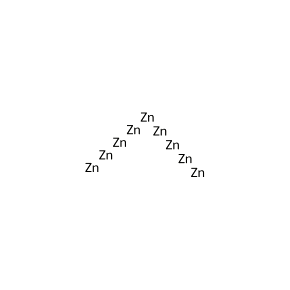 [Zn].[Zn].[Zn].[Zn].[Zn].[Zn].[Zn].[Zn].[Zn]